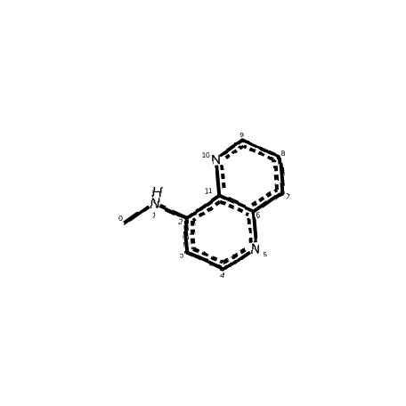 CNc1ccnc2cccnc12